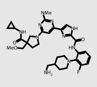 CNc1nc(-c2c[nH]c(C(=O)Nc3cccc(F)c3N3CCC(CN)CC3)n2)cc(N2CCC(COC)(C(=O)NC3CC3)C2)n1